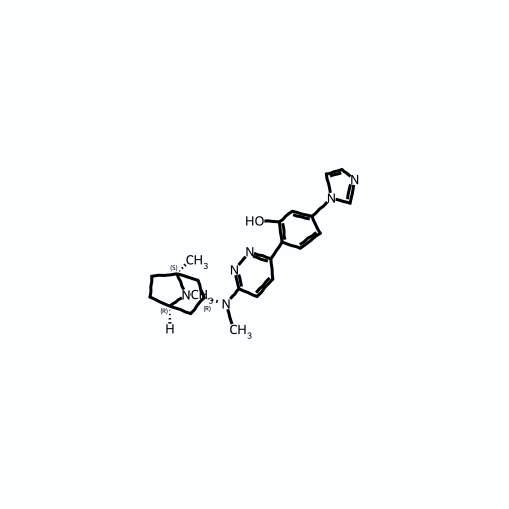 CN(c1ccc(-c2ccc(-n3ccnc3)cc2O)nn1)[C@@H]1C[C@H]2CC[C@@](C)(C1)N2C